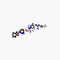 CC(C)[C@@H](COc1ccc(-c2cc3ccccc3o2)nc1)Nc1ccc(C(=O)NCCC(=O)O)cc1